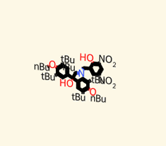 CCCCOc1c(C(C)(C)C)cc(C(O)(c2cc(C(C)(C)C)c(OCCCC)c(C(C)(C)C)c2)C(N=Cc2cc([N+](=O)[O-])cc([N+](=O)[O-])c2O)C(C)CC)cc1C(C)(C)C